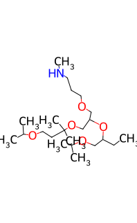 CCC(COC(C)C)OC(COCCCNC)COC(C)(C)CCOC(C)C